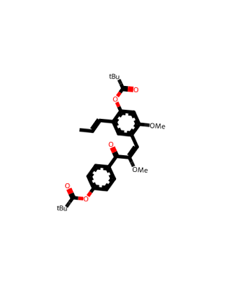 CC=Cc1cc(C=C(OC)C(=O)c2ccc(OC(=O)C(C)(C)C)cc2)c(OC)cc1OC(=O)C(C)(C)C